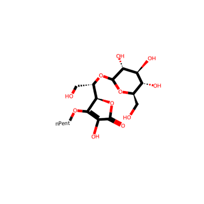 CCCCCOC1=C(O)C(=O)O[C@@H]1[C@H](CO)OC1O[C@H](CO)[C@@H](O)[C@H](O)[C@H]1O